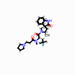 CN(C(=O)CCN1CCCC1)[C@@H](CC(C)(C)F)C(=O)N1C[C@]2(C[C@H]1C#N)C(=O)Nc1ccccc12